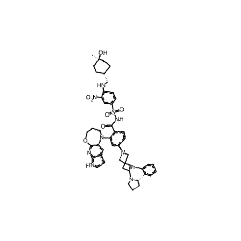 CC(C)c1ccccc1[C@@H]1CCCN1C1CC2(C1)CN(c1ccc(C(=O)NS(=O)(=O)c3ccc(NC[C@H]4CC[C@](C)(O)CC4)c([N+](=O)[O-])c3)c(N3CCCOc4nc5[nH]ccc5cc43)c1)C2